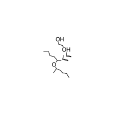 C=CC.C=CC.CCCCC(C)OC(C)CCCC.OCCO